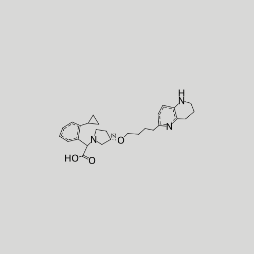 O=C(O)C(c1ccccc1C1CC1)N1CC[C@H](OCCCCc2ccc3c(n2)CCCN3)C1